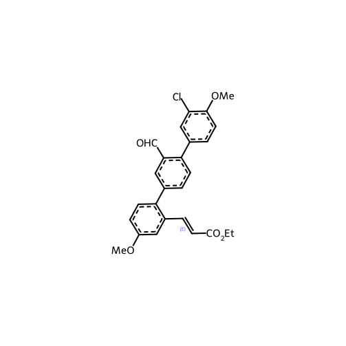 CCOC(=O)/C=C/c1cc(OC)ccc1-c1ccc(-c2ccc(OC)c(Cl)c2)c(C=O)c1